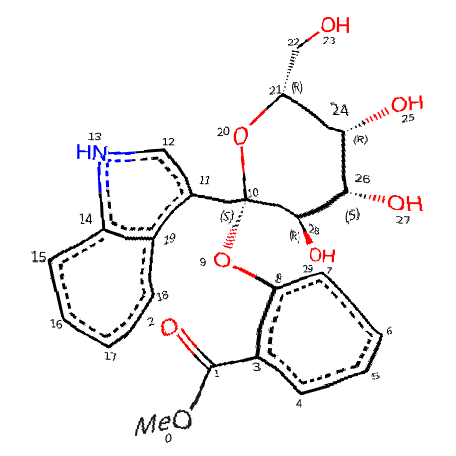 COC(=O)c1ccccc1O[C@]1(c2c[nH]c3ccccc23)O[C@H](CO)[C@H](O)[C@H](O)[C@H]1O